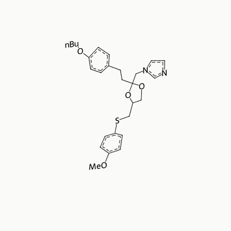 CCCCOc1ccc(CCC2(Cn3ccnc3)OCC(CSc3ccc(OC)cc3)O2)cc1